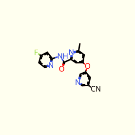 Cc1cc(Oc2cncc(C#N)c2)cc(C(=O)Nc2cc(F)ccn2)n1